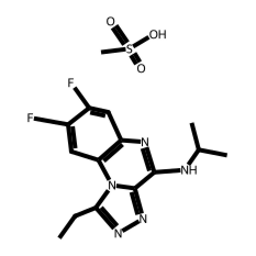 CCc1nnc2c(NC(C)C)nc3cc(F)c(F)cc3n12.CS(=O)(=O)O